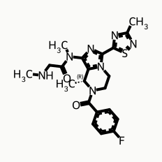 CNCC(=O)N(C)c1nc(-c2nc(C)ns2)n2c1[C@@H](C)N(C(=O)c1ccc(F)cc1)CC2